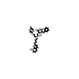 Cc1cnc(OCCN(CCCCc2ccc3c(n2)NCCC3)CC[C@H](NC(=O)Cc2ccccc2)C(=O)O)cn1